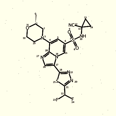 C[C@@H]1CN(c2cc(S(=O)(=O)NC3(C#N)CC3)cn3c(-c4nnc(C(F)F)s4)cnc23)CCO1